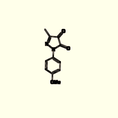 COc1ccc(N2N=C(C)C(=O)C2=O)cc1